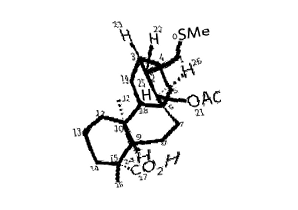 CSC[C@H]1[C@H]2CC[C@@]3(CC[C@H]4[C@@](C)(CCC[C@@]4(C)C(=O)O)[C@@H]3C2)[C@@H]1OC(C)=O